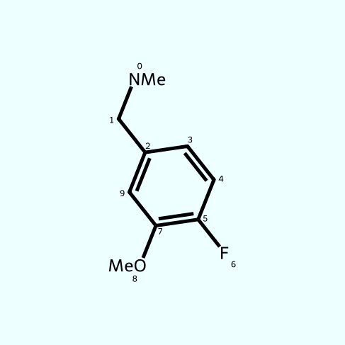 CNCc1ccc(F)c(OC)c1